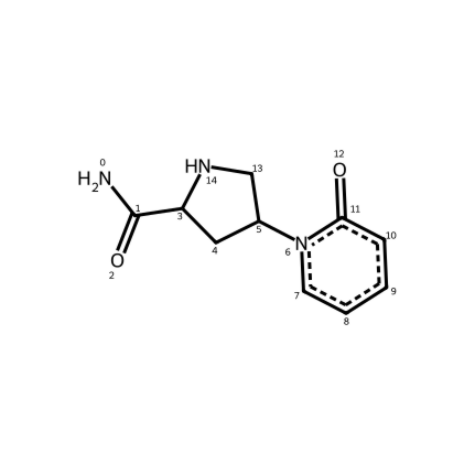 NC(=O)C1CC(n2ccccc2=O)CN1